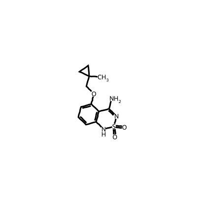 CC1(COc2cccc3c2C(N)=NS(=O)(=O)N3)CC1